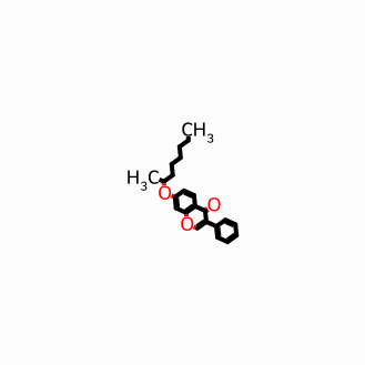 CCCCCCC(C)Oc1ccc2c(=O)c(-c3ccccc3)coc2c1